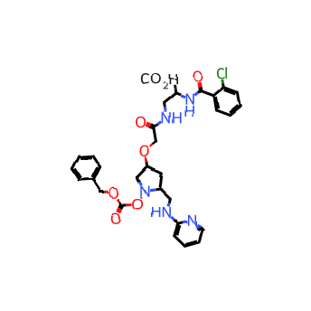 O=C(COC1CC(CNc2ccccn2)N(OC(=O)OCc2ccccc2)C1)NCC(NC(=O)c1ccccc1Cl)C(=O)O